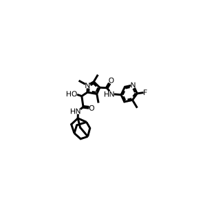 Cc1cc(NC(=O)c2c(C)c(C(O)C(=O)NC34CC5CC(CC3C5)C4)n(C)c2C)cnc1F